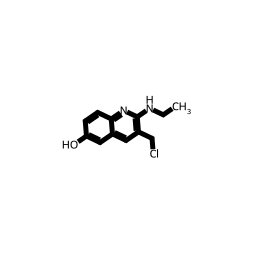 CCNc1nc2ccc(O)cc2cc1CCl